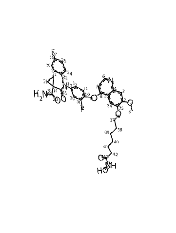 COc1cc2nccc(Oc3ccc(N(C(=O)C4(C(N)=O)CC4)c4ccc(F)cc4)cc3F)c2cc1OCCCCCCC(=O)NO